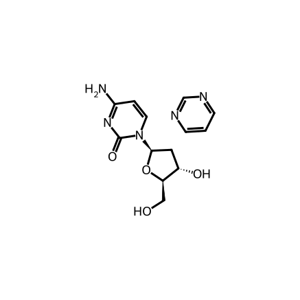 Nc1ccn([C@H]2C[C@H](O)[C@@H](CO)O2)c(=O)n1.c1cncnc1